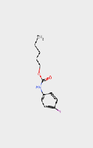 CCCCCOC(=O)Nc1ccc(I)cc1